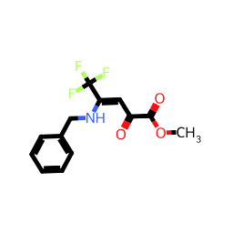 COC(=O)C(=O)/C=C(\NCc1ccccc1)C(F)(F)F